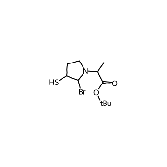 CC(C(=O)OC(C)(C)C)N1CCC(S)C1Br